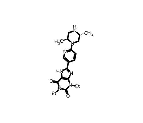 CCn1c(=O)c2[nH]c(-c3ccc(N4C[C@@H](C)NC[C@@H]4C)nc3)nc2n(CC)c1=O